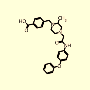 CC1CN(CC(=O)Nc2ccc(Oc3ccccc3)cc2)CCN1Cc1ccc(C(=O)O)cc1